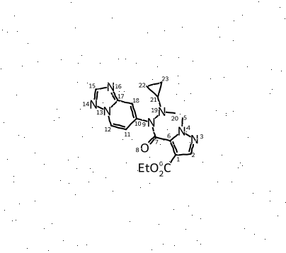 CCOC(=O)c1cnn(C)c1C(=O)N(c1ccn2ncnc2c1)N(C)C1CC1